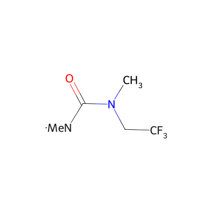 C[N]C(=O)N(C)CC(F)(F)F